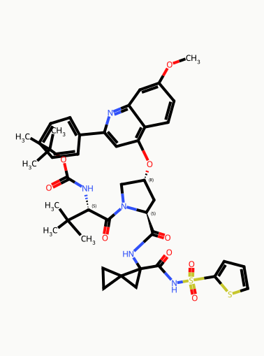 COc1ccc2c(O[C@@H]3C[C@@H](C(=O)NC4(C(=O)NS(=O)(=O)c5cccs5)CC45CC5)N(C(=O)[C@@H](NC(=O)OC(C)(C)C)C(C)(C)C)C3)cc(-c3ccccc3)nc2c1